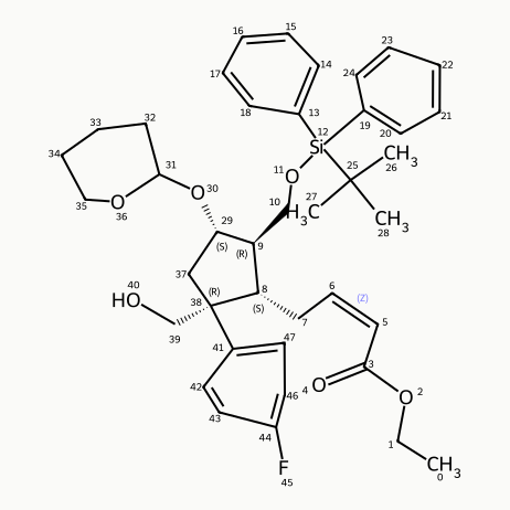 CCOC(=O)/C=C\C[C@H]1[C@H](CO[Si](c2ccccc2)(c2ccccc2)C(C)(C)C)[C@@H](OC2CCCCO2)C[C@]1(CO)c1ccc(F)cc1